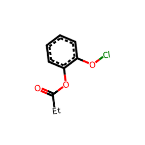 CCC(=O)Oc1ccccc1OCl